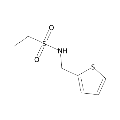 CCS(=O)(=O)NCc1cccs1